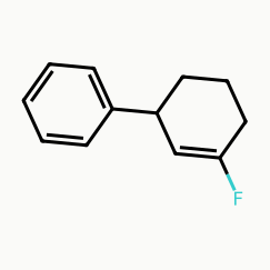 FC1=CC(c2ccccc2)CCC1